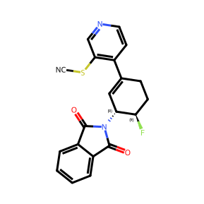 N#CSc1cnccc1C1=C[C@@H](N2C(=O)c3ccccc3C2=O)[C@H](F)CC1